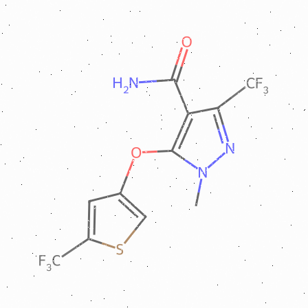 Cn1nc(C(F)(F)F)c(C(N)=O)c1Oc1csc(C(F)(F)F)c1